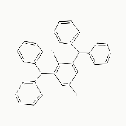 CC(C)(C)c1cc(C(c2ccccc2)c2ccccc2)c(N)c(C(c2ccccc2)c2ccccc2)c1